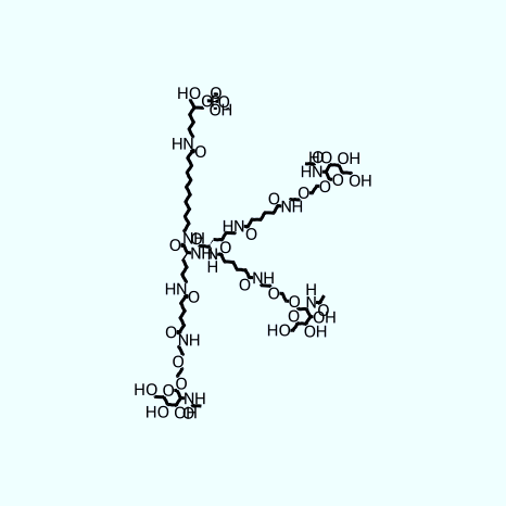 COP(=O)(O)OCC(CO)CCCCNC(=O)CCCCCCCCCCCNC(=O)[C@H](CCCCNC(=O)CCCCC(=O)NCCOCCOC1OC(CO)C(O)C(O)C1NC(C)=O)NC(=O)[C@H](CCCCNC(=O)CCCCC(=O)NCCOCCOC1OC(CO)C(O)C(O)C1NC(C)=O)NC(=O)CCCCC(=O)NCCOCCOC1OC(CO)C(O)C(O)C1NC(C)=O